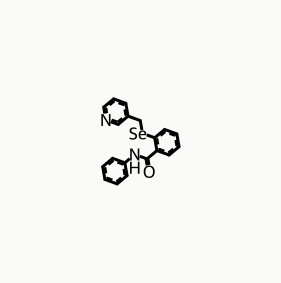 O=C(Nc1ccccc1)c1ccccc1[Se]Cc1cccnc1